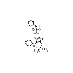 CC(C)(C)Cc1nc2cc(S(=O)(=O)Nc3ccccc3)ccc2n1CC1CCOCC1